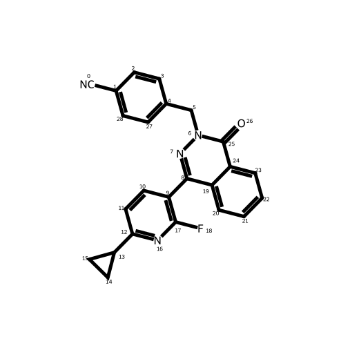 N#Cc1ccc(Cn2nc(-c3ccc(C4CC4)nc3F)c3ccccc3c2=O)cc1